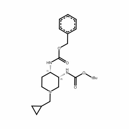 CC(C)(C)OC(=O)N[C@@H]1CN(CC2CC2)CC[C@@H]1NC(=O)OCc1ccccc1